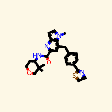 Cn1ccc2nc(C(=O)NC3CCOCC3(C)C)cc(Cc3ccc(-c4nccs4)cc3)c21